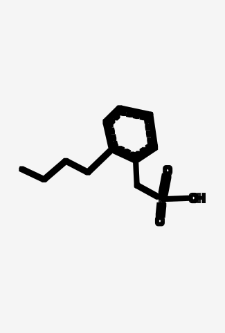 CCCCc1ccccc1CS(=O)(=O)O